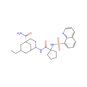 CCC1CC2C[C@](C(N)=O)(CCC2NC(=O)C2(NS(=O)(=O)c3cccc4cccnc34)CCCC2)C1